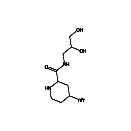 CCCC1CCNC(C(=O)NCC(O)CO)C1